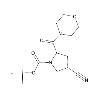 CC(C)(C)OC(=O)N1CC(C#N)CC1C(=O)N1CCOCC1